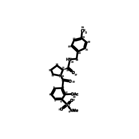 CNS(=O)(=O)c1cccc(C(=O)N2CCC[C@@H]2C(=O)NCc2ccc(C(F)(F)F)cc2)c1OC(C)=O